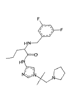 CCCC(NCc1cc(F)cc(F)c1)C(=O)Nc1cn(C(C)(C)CN2CCCC2)cn1